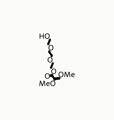 COC=C(OC)C(=O)OCCOCCOCCO